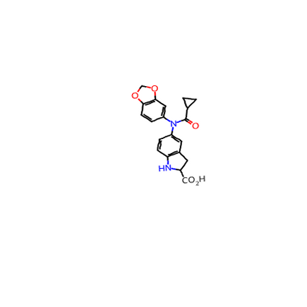 O=C(O)C1Cc2cc(N(C(=O)C3CC3)c3ccc4c(c3)OCO4)ccc2N1